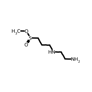 COS(=O)CCCNCCN